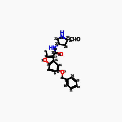 Cc1oc2ccc(OCc3ccccc3)cc2c1C(=O)N[C@@H]1CN[C@H](C=O)C1